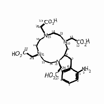 Nc1ccccc1CC1CN(CC(=O)O)CCN(CC(=O)O)CCN(CC(=O)O)CCN1CC(=O)O